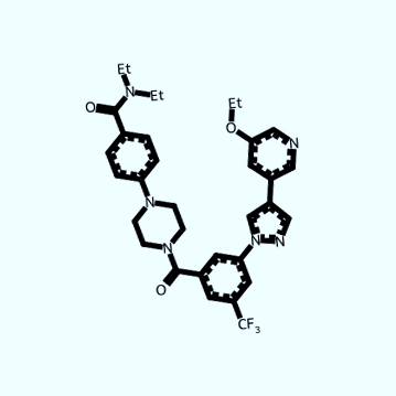 CCOc1cncc(-c2cnn(-c3cc(C(=O)N4CCN(c5ccc(C(=O)N(CC)CC)cc5)CC4)cc(C(F)(F)F)c3)c2)c1